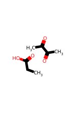 CC(=O)C(C)=O.CCC(=O)O